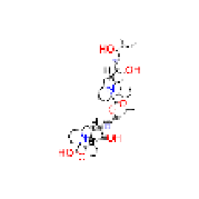 CCC[C@H](/C=C/[C@@H]1[C@H]2CC3CCCC(C(=O)O)(C4CCCC4)N3[C@@H]2C[C@H]1O)OC(=O)C1(C2CCCC2)CCCC2C[C@H]3C(CC(O)[C@@H]3/C=C/C(O)C(C)CC)N21